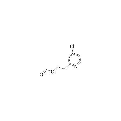 O=COCCc1cc(Cl)ccn1